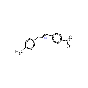 Cc1ccc(C/C=C/c2ccc([N+](=O)[O-])cc2)cc1